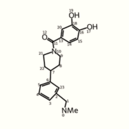 CNCc1cccc(C2CCN(C(=O)c3ccc(O)c(O)c3)CC2)c1